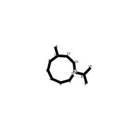 CC1CCCCCN(C(C)C)CC1